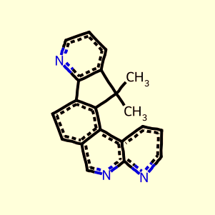 CC1(C)c2cccnc2-c2ccc3cnc4ncccc4c3c21